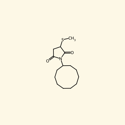 CSC1CC(=O)N(C2CCCCCCCCC2)C1=O